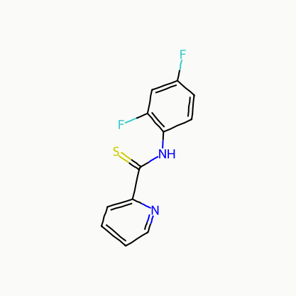 Fc1ccc(NC(=S)c2ccccn2)c(F)c1